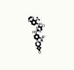 CP(C)c1c(Nc2nc(Nc3ccc(N4CCC5(CC4)CC(=O)C5)c([N+](=O)[O-])c3)ncc2Cl)ccc2nccnc12